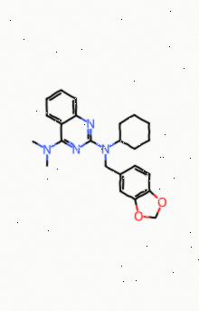 CN(C)c1nc(N(Cc2ccc3c(c2)OCO3)C2CCCCC2)nc2ccccc12